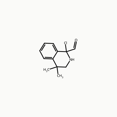 CC1(C)CNC(Cl)(C=O)c2ccccc21